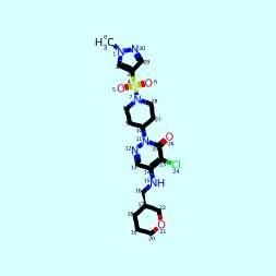 Cn1cc(S(=O)(=O)N2CCC(n3ncc(NC[C@@H]4CCCOC4)c(Cl)c3=O)CC2)cn1